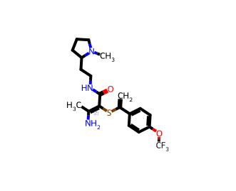 C=C(S/C(C(=O)NCCC1CCCN1C)=C(/C)N)c1ccc(OC(F)(F)F)cc1